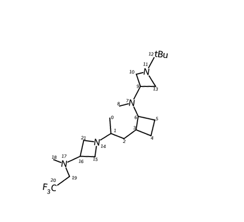 CC(CC1CCC1N(C)C1CN(C(C)(C)C)C1)N1CC(N(C)CC(F)(F)F)C1